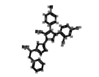 Cc1c(-c2nnc(C(C)Cc3ccccc3)s2)nn(-c2ccc(Cl)cc2Cl)c1-c1ccc(Cl)cc1